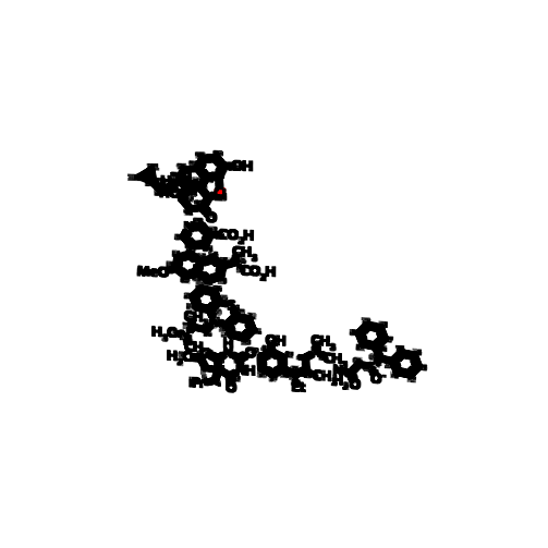 C=CCC1(CC(C)C)C(=O)NC(=O)NC1=O.CC(CN1c2ccccc2Sc2ccccc21)N(C)C.CC[C@@H](c1cccc(O)c1)[C@@H](C)CN(C)C.COc1ccc2cc([C@H](C)C(=O)O)ccc2c1.NC(=O)C[S+]([O-])C(c1ccccc1)c1ccccc1.O=C(O)c1cccnc1.O=C1CC[C@@]2(O)[C@H]3Cc4ccc(O)c5c4[C@@]2(CCN3CC2CC2)[C@H]1O5